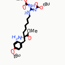 COC(=O)[C@](N)(CCCCCCNC(=NC(=O)OC(C)(C)C)NC(=O)OC(C)(C)C)Cc1ccc(OC(C)(C)C)cc1